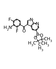 CC1(C)OB(c2cnc3c(c2)C(C(=O)c2ccc(F)c(N)c2F)=C[N]3)OC1(C)C